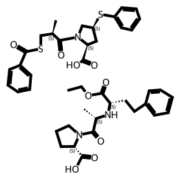 CCOC(=O)[C@H](CCc1ccccc1)N[C@@H](C)C(=O)N1CCC[C@H]1C(=O)O.C[C@H](CSC(=O)c1ccccc1)C(=O)N1C[C@@H](Sc2ccccc2)C[C@H]1C(=O)O